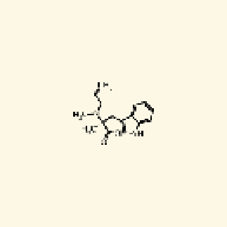 C=CCN(C)[C@@](C)(Cc1c[nH]c2ccccc12)C(=O)O